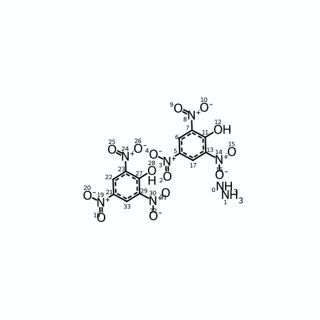 N.N.O=[N+]([O-])c1cc([N+](=O)[O-])c(O)c([N+](=O)[O-])c1.O=[N+]([O-])c1cc([N+](=O)[O-])c(O)c([N+](=O)[O-])c1